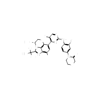 C[C@H]1COc2c(-c3nc(Nc4ccc(N5CCOCC5=O)cc4F)ncc3F)cc(F)c3nc(C(C)(C)O)n1c23